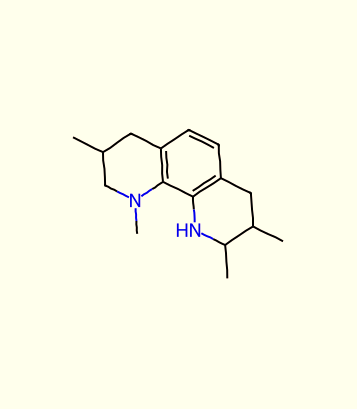 CC1Cc2ccc3c(c2N(C)C1)NC(C)C(C)C3